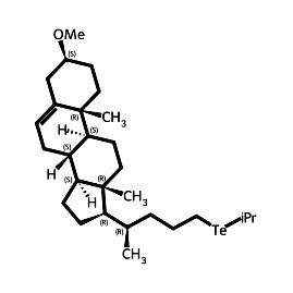 CO[C@H]1CC[C@@]2(C)C(=CC[C@H]3[C@@H]4CC[C@H]([C@H](C)CCC[Te]C(C)C)[C@@]4(C)CC[C@@H]32)C1